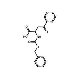 O=C(NC(CC(=O)c1ccccc1)C(=O)O)OCc1ccccc1